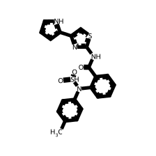 Cc1ccc(N(c2ccccc2C(=O)Nc2nc(-c3ccc[nH]3)cs2)[SH](=O)=O)cc1